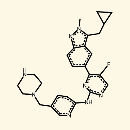 Cn1nc2ccc(-c3nc(Nc4ccc(CN5CCNCC5)cn4)ncc3F)cc2c1CC1CC1